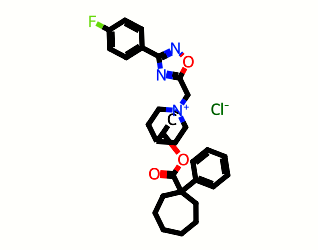 O=C(OC1C[N+]2(Cc3nc(-c4ccc(F)cc4)no3)CCC1CC2)C1(c2ccccc2)CCCCCC1.[Cl-]